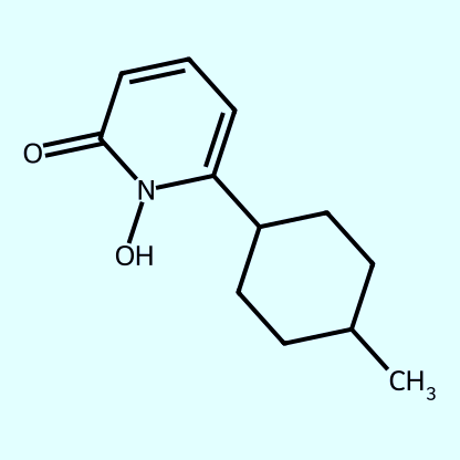 CC1CCC(c2cccc(=O)n2O)CC1